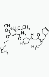 CCN(Cc1ccccc1)C(=O)CNC1CNCC1CN(C(=O)c1ccc(OC)c(OCCCOC)c1)C(C)C